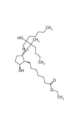 CCCCCC(O)(CC=C1CC[C@H](O)[C@@H]1CCCCCCC(=O)OCC)C(C)(C)CCCC